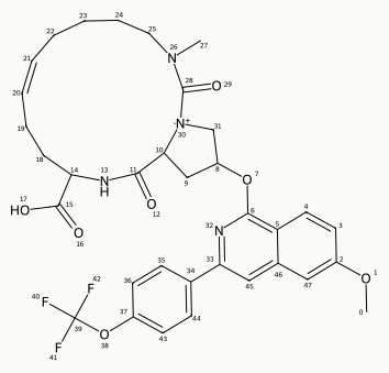 COc1ccc2c(OC3CC4C(=O)NC(C(=O)O)CCC=CCCCCN(C)C(=O)[N+]4C3)nc(-c3ccc(OC(F)(F)F)cc3)cc2c1